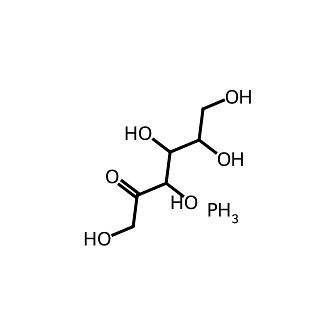 O=C(CO)C(O)C(O)C(O)CO.P